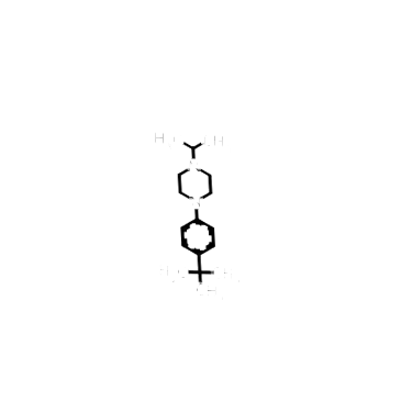 [CH2]C(C)(C)c1ccc(N2CCN(C(C)C)CC2)cc1